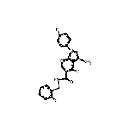 Cc1nn(-c2ccc(F)cc2)c2ncc(C(=O)NCc3ccccc3Cl)c(Cl)c12